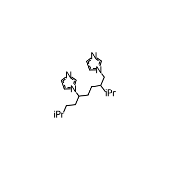 CC(C)CCC(CCC(Cn1ccnc1)C(C)C)n1ccnc1